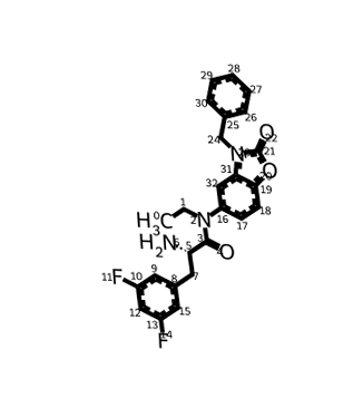 CCN(C(=O)[C@@H](N)Cc1cc(F)cc(F)c1)c1ccc2oc(=O)n(Cc3ccccc3)c2c1